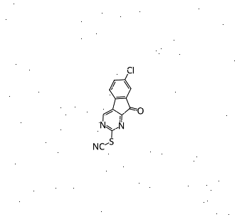 N#CSc1ncc2c(n1)C(=O)c1cc(Cl)ccc1-2